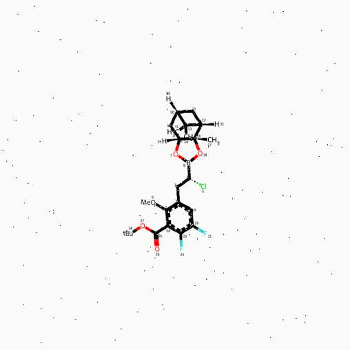 COc1c(C[C@@H](Cl)B2O[C@@H]3C[C@@H]4C[C@@H](C4(C)C)[C@]3(C)O2)cc(F)c(F)c1C(=O)OC(C)(C)C